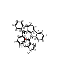 Cn1cnc2c1NCN=C2n1c2ccccc2c2ccc3c4ccccc4n(-c4ccccc4)c3c21